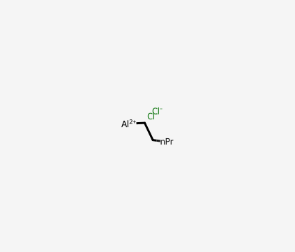 CCCC[CH2][Al+2].[Cl-].[Cl-]